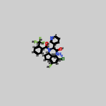 NC(=O)C(c1cccnc1)N(C(=O)c1ccccc1C(F)(F)F)[C@@H]1CCc2c(F)cc(Cl)cc21